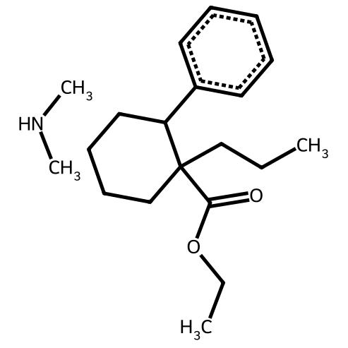 CCCC1(C(=O)OCC)CCCCC1c1ccccc1.CNC